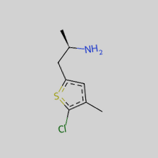 Cc1cc(C[C@@H](C)N)sc1Cl